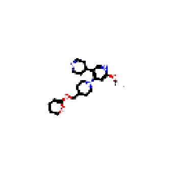 COc1cc(N2CCC(COC3=CCCCO3)CC2)c(C2CCNCC2)cn1